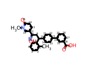 Cc1ccccc1C(C/C(=N\O)c1ccc(=O)n(C)c1)c1ccc(-c2cccc(C(=O)O)c2)cc1